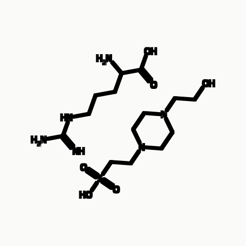 N=C(N)NCCCC(N)C(=O)O.O=S(=O)(O)CCN1CCN(CCO)CC1